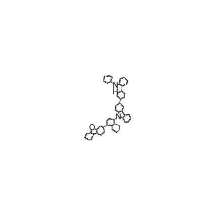 C1=Cc2c(-c3ccc4c(c3)oc3ccccc34)ccc(-n3c4ccccc4c4cc(-c5ccc(-c6ccccc6Nc6ccccc6)cc5)ccc43)c2CC1